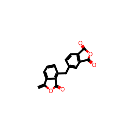 C=C1OC(=O)c2c(Cc3ccc4c(c3)C(=O)OC4=O)cccc21